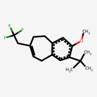 COc1cc2c(cc1C(C)(C)C)CC=C(CC(F)(F)F)CC2